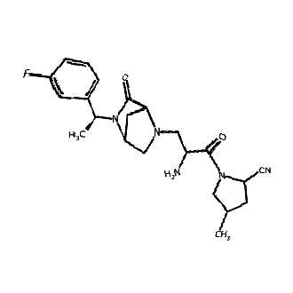 CC1CC(C#N)N(C(=O)C(N)CN2CC3CC2C(=O)N3[C@@H](C)c2cccc(F)c2)C1